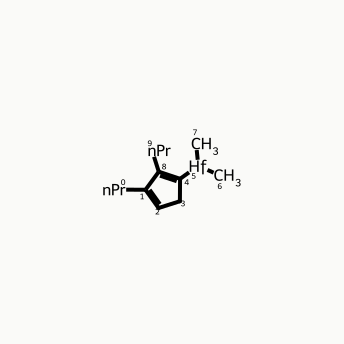 CCCC1=CC[C]([Hf]([CH3])[CH3])=C1CCC